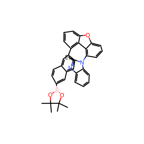 CCc1nc2ccccc2n1-c1cccc2oc3cccc(-c4ccc5cc(B6OC(C)(C)C(C)(C)O6)ccc5c4)c3c12